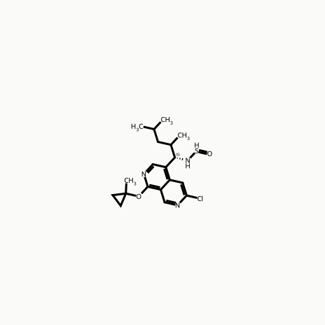 CC(C)CC(C)[C@H](N[SH]=O)c1cnc(OC2(C)CC2)c2cnc(Cl)cc12